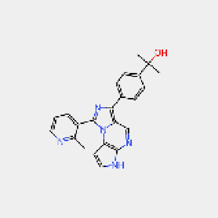 Cc1ncccc1-c1nc(-c2ccc(C(C)(C)O)cc2)c2cnc3[nH]ccc3n12